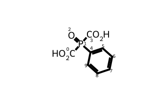 O=C(O)P(=O)(C(=O)O)c1ccccc1